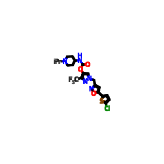 CC(C)N1CCC(NC(=O)Oc2cn(Cc3cc(-c4ccc(Cl)s4)on3)nc2C(F)(F)F)CC1